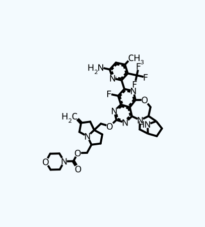 C=C1CN2C(COC(=O)N3CCOCC3)CCC2(COc2nc3c4c(nc(-c5nc(N)cc(C)c5C(F)(F)F)c(F)c4n2)OCC2C4CCC(CN32)N4)C1